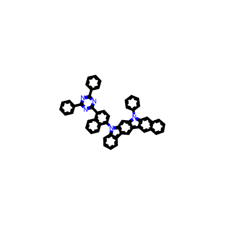 c1ccc(-c2nc(-c3ccccc3)nc(-c3ccc(-n4c5ccccc5c5cc6c7cc8ccccc8cc7n(-c7ccccc7)c6cc54)c4ccccc34)n2)cc1